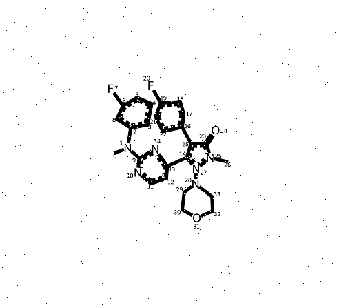 CN(c1cccc(F)c1)c1nccc(-c2c(-c3ccc(F)cc3)c(=O)n(C)n2N2CCOCC2)n1